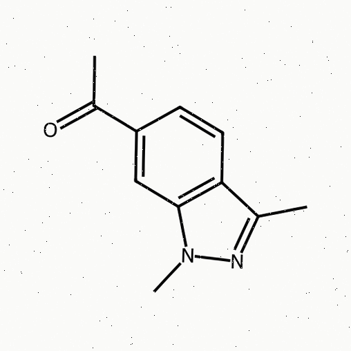 CC(=O)c1ccc2c(C)nn(C)c2c1